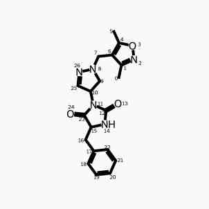 Cc1noc(C)c1CN1CC(N2C(=O)NC(Cc3ccccc3)C2=O)C=N1